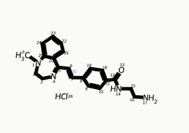 CN1CCN=C(/C=C/c2ccc(C(=O)NCCN)cc2)c2ccccc21.Cl